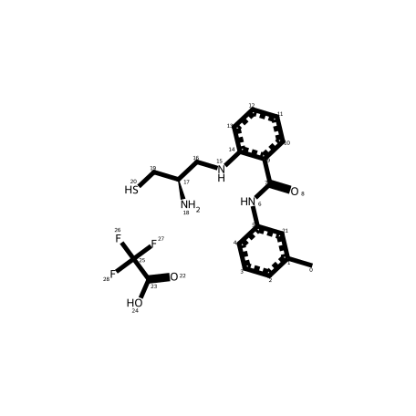 Cc1cccc(NC(=O)c2ccccc2NC[C@@H](N)CS)c1.O=C(O)C(F)(F)F